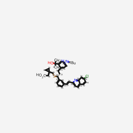 CC(C)(C)N.CC(C)(O)c1ccccc1CC[C@@H](SCC1(CC(=O)O)CC1)c1cccc(/C=C/c2ccc3ccc(Cl)cc3n2)c1